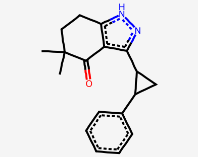 CC1(C)CCc2[nH]nc(C3CC3c3ccccc3)c2C1=O